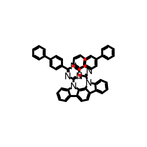 c1ccc(-c2ccc(-c3nc(-c4ccc(-c5ccccc5)cc4)nc(-n4c5ccccc5c5ccc6c7ccccc7n(-c7nc8ccccc8s7)c6c54)n3)cc2)cc1